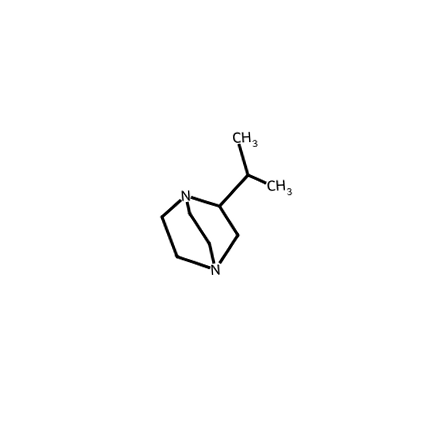 CC(C)C1CN2CCN1CC2